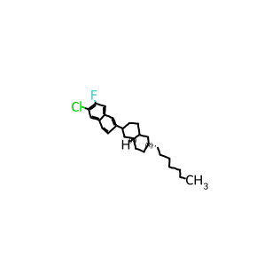 CCCCCCC[C@@H]1CC[C@@H]2CC(c3ccc4cc(Cl)c(F)cc4c3)CCC2C1